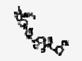 N#Cc1cccc(Cn2cnc3ccc(Sc4cnc(N5CCC6(CC5)CO[C@@H](I)[C@H]6N)cn4)c(Cl)c3c2=O)c1